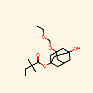 CCOCOC12CC3CC(O)(C1)CC(OC(=O)C(C)(C)CC)(C3)C2